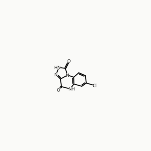 O=c1[nH]c2cc(Cl)ccc2n2c(=O)[nH]nc12